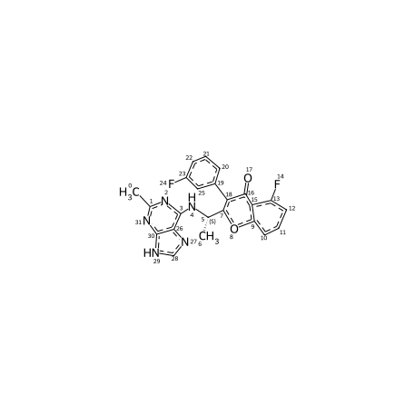 Cc1nc(N[C@@H](C)c2oc3cccc(F)c3c(=O)c2-c2cccc(F)c2)c2nc[nH]c2n1